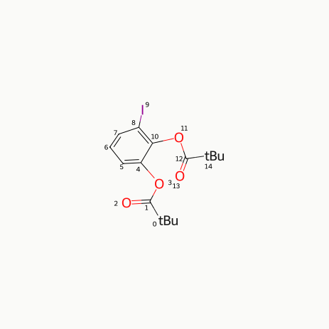 CC(C)(C)C(=O)Oc1cccc(I)c1OC(=O)C(C)(C)C